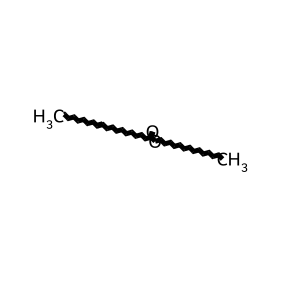 CCCCCCCCC=CCCCCCCCCCC(=O)OCCCCCCCCCCCCCC